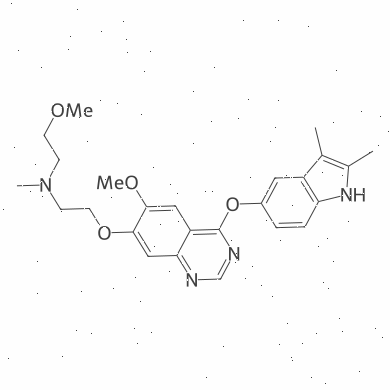 COCCN(C)CCOc1cc2ncnc(Oc3ccc4[nH]c(C)c(C)c4c3)c2cc1OC